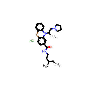 CCC(C)CCNC(=O)c1ccc2c(c1)N(C(C)CN1CCCC1)c1ccccc1S2.Cl